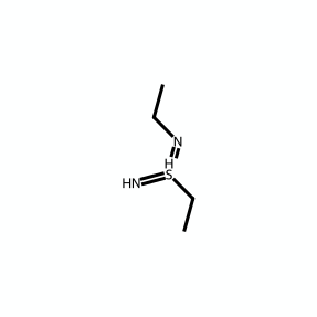 CC/N=[SH](=N)/CC